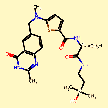 Cc1nc2ccc(CN(C)c3ccc(C(=O)N[C@H](C(=O)O)C(=O)NCC[Si](C)(C)O)s3)cc2c(=O)[nH]1